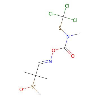 CN(SC(Cl)(Cl)Cl)C(=O)O/N=C/C(C)(C)[S+](C)[O-]